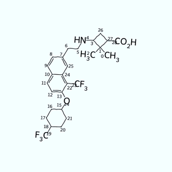 CC1(C)C(NCCc2ccc3ccc(OC4CCC(C(F)(F)F)CC4)c(C(F)(F)F)c3c2)CC1C(=O)O